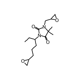 CCC(CCCC1CO1)N1C(=O)N(CC2CO2)C(C)(C)C1=O